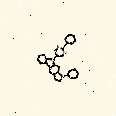 c1ccc(-c2ncc(-n3c4ccccc4c4cc5ccn(-c6ccccc6)c5cc43)cn2)cc1